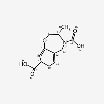 C[C@H]1COC2=CC(C(=O)O)CC=C2CN1C(=O)O